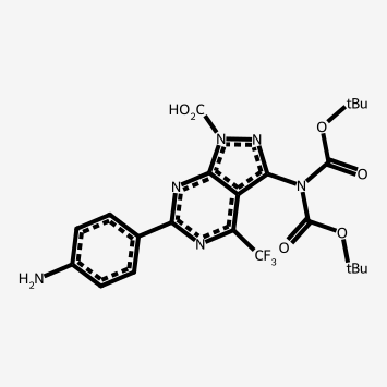 CC(C)(C)OC(=O)N(C(=O)OC(C)(C)C)c1nn(C(=O)O)c2nc(-c3ccc(N)cc3)nc(C(F)(F)F)c12